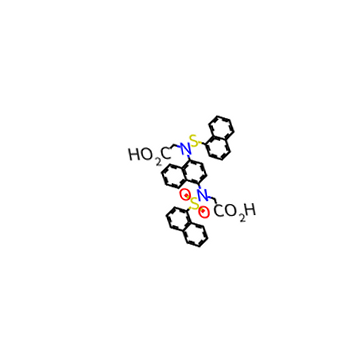 O=C(O)CN(Sc1cccc2ccccc12)c1ccc(N(CC(=O)O)S(=O)(=O)c2cccc3ccccc23)c2ccccc12